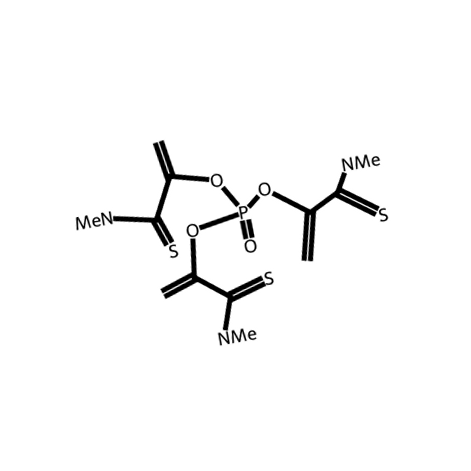 C=C(OP(=O)(OC(=C)C(=S)NC)OC(=C)C(=S)NC)C(=S)NC